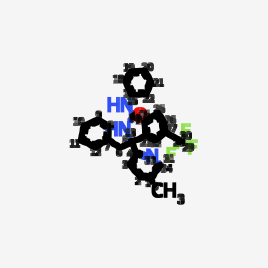 Cc1ccc(C(Cc2ccccc2)(NC(=O)Nc2ccccc2)c2cccc(C(F)(F)F)c2)nc1